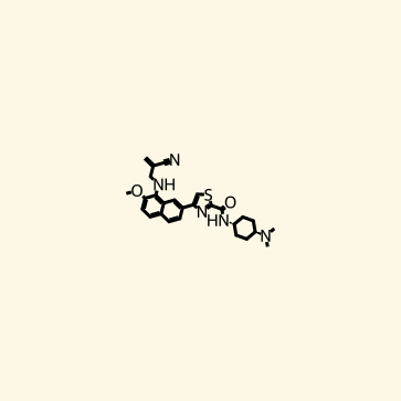 C=C(C#N)CNc1c(OC)ccc2ccc(-c3csc(C(=O)N[C@H]4CC[C@H](N(C)C)CC4)n3)cc12